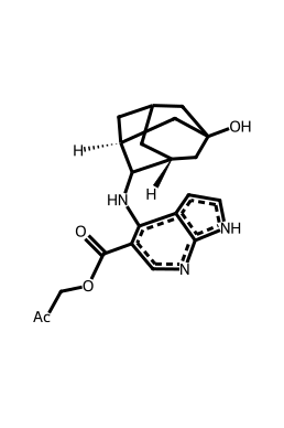 CC(=O)COC(=O)c1cnc2[nH]ccc2c1NC1[C@@H]2CC3C[C@H]1CC(O)(C3)C2